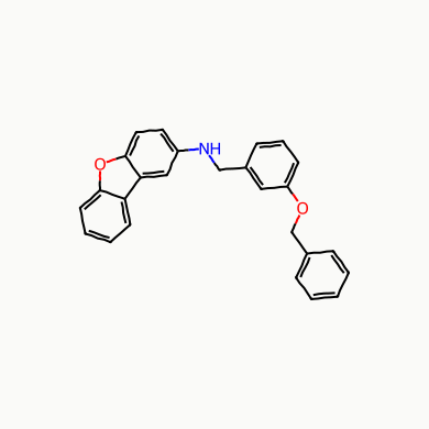 c1ccc(COc2cccc(CNc3ccc4oc5ccccc5c4c3)c2)cc1